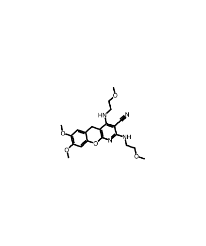 COCCNc1nc2c(c(NCCOC)c1C#N)Cc1cc(OC)c(OC)cc1O2